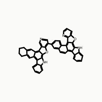 c1ccc2c(c1)[nH]c1c3oc4c(-c5ccc6c(ccc7c8c9ccccc9[nH]c8c8oc9cccnc9c8c67)c5)cncc4c3c3cc4c(cc3c21)CCCC4